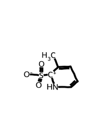 Cc1ccc[nH][c+]1S(=O)(=O)[O-]